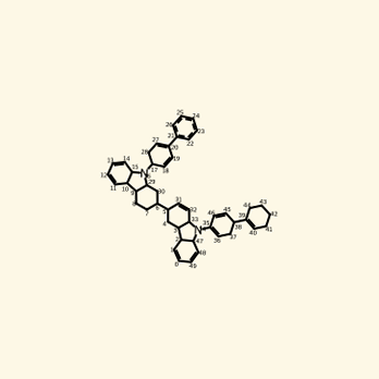 C1=CC2C3CC(C4CCC5C6C=CC=CC6N(C6C=CC(c7ccccc7)=CC6)C5C4)C=CC3N(C3=CCC(C4=CCCCC4)C=C3)C2C=C1